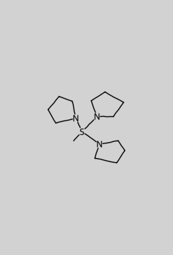 CS(N1CCCC1)(N1CCCC1)N1CCCC1